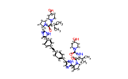 CC(C)[C@@H](NC(=O)N1CCC(O)CC1)C(=O)N1CCC[C@H]1c1ncc(-c2ccc(C#Cc3ccc(-c4cnc([C@@H]5CCCN5C(=O)[C@@H](C(C)C)N5CCC(O)CC5)[nH]4)cc3)cc2)[nH]1